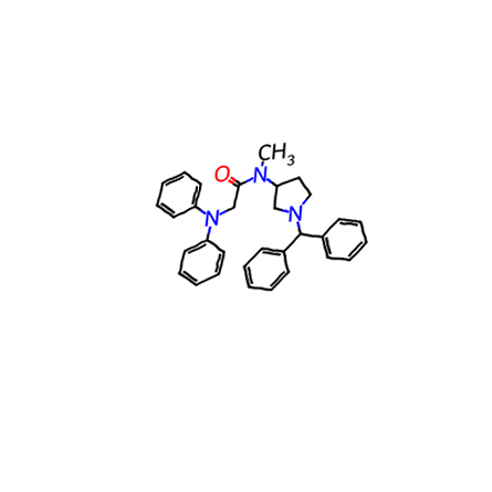 CN(C(=O)CN(c1ccccc1)c1ccccc1)C1CCN(C(c2ccccc2)c2ccccc2)C1